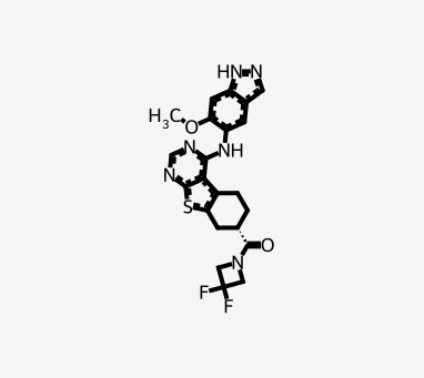 COc1cc2[nH]ncc2cc1Nc1ncnc2sc3c(c12)CC[C@H](C(=O)N1CC(F)(F)C1)C3